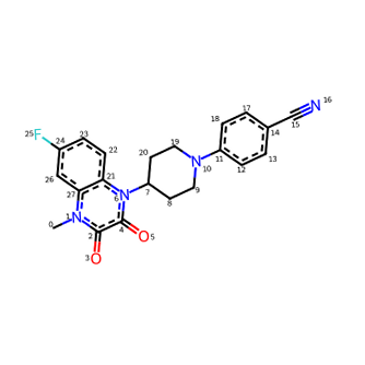 Cn1c(=O)c(=O)n(C2CCN(c3ccc(C#N)cc3)CC2)c2ccc(F)cc21